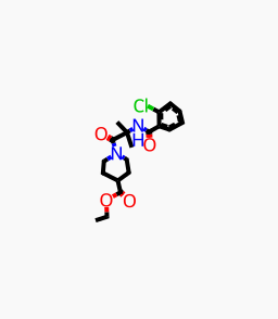 CCOC(=O)C1CCN(C(=O)C(C)(C)NC(=O)c2ccccc2Cl)CC1